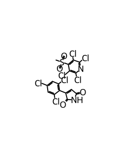 CS(=O)(=O)c1c(Cl)c(Cl)nc(Cl)c1Cl.O=C1C=C(c2c(Cl)cc(Cl)cc2Cl)C(=O)N1